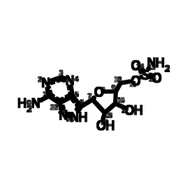 Nc1ncnc2c(C3OC(COS(N)(=O)=O)C(O)C3O)[nH]nc12